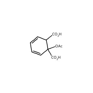 CC(=O)OC1(C(=O)O)C=CC=CC1C(=O)O